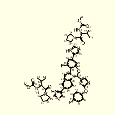 COC(=O)NC(C(=O)N1CCC[C@H]1c1ncc(-c2cc(F)c3c(c2)OC(c2cnc(Oc4ccc(F)cc4)s2)n2c-3cc3cc(-c4cnc([C@@H]5CCCN5C(=O)C(NC(=O)OC)C(C)C)[nH]4)ccc32)[nH]1)C(C)C